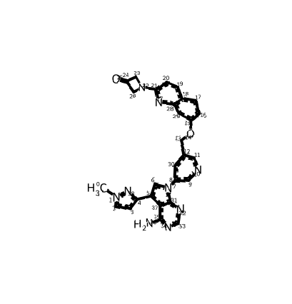 Cn1ccc(-c2cn(-c3cncc(COc4ccc5ccc(N6CC(=O)C6)nc5c4)c3)c3ncnc(N)c23)n1